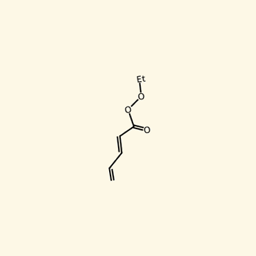 C=CC=CC(=O)OOCC